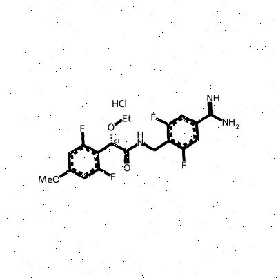 CCO[C@H](C(=O)NCc1c(F)cc(C(=N)N)cc1F)c1c(F)cc(OC)cc1F.Cl